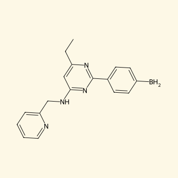 Bc1ccc(-c2nc(CC)cc(NCc3ccccn3)n2)cc1